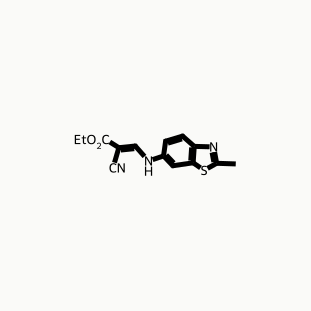 CCOC(=O)C(C#N)=CNc1ccc2nc(C)sc2c1